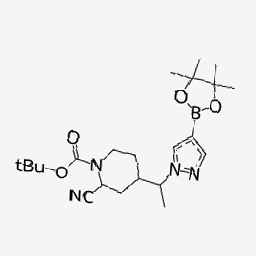 CC(C1CCN(C(=O)OC(C)(C)C)C(C#N)C1)n1cc(B2OC(C)(C)C(C)(C)O2)cn1